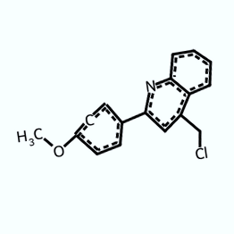 COc1ccc(-c2cc(CCl)c3ccccc3n2)cc1